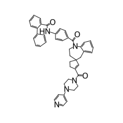 O=C(Nc1ccc(C(=O)N2CCC3(C=C(C(=O)N4CCN(c5ccncc5)CC4)CC3)Cc3ccccc32)cc1)c1ccccc1-c1ccccc1